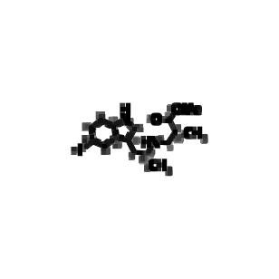 COC(=O)[C@H](C)CN[C@H](C)Cc1c[nH]c2ccc(F)cc12